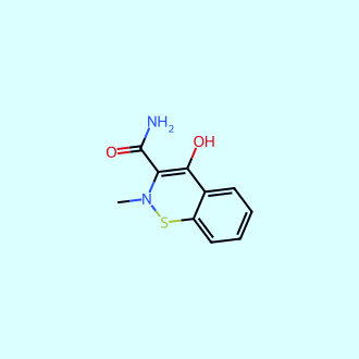 CN1Sc2ccccc2C(O)=C1C(N)=O